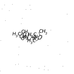 CCc1cccc(CC)c1N(C)N=C1CCN(C(=O)OC(C)(C)C)CC1